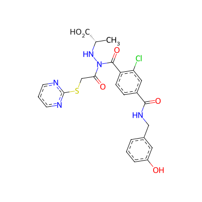 C[C@H](NN(C(=O)CSc1ncccn1)C(=O)c1ccc(C(=O)NCc2cccc(O)c2)cc1Cl)C(=O)O